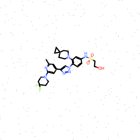 Cc1cc(-c2cn(-c3ccc(NS(=O)(=O)CCO)cc3N3CCC4(CC3)CC4)nn2)cc(N2CCC(F)(F)CC2)n1